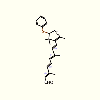 CC1=C(/C=C/C(C)=C/C=C/C(C)=C/C=O)C(C)(C)C(Sc2ccccc2)CC1